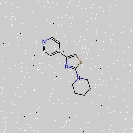 c1cc(-c2csc(N3CCCCC3)n2)ccn1